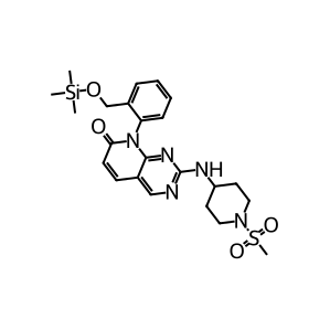 C[Si](C)(C)OCc1ccccc1-n1c(=O)ccc2cnc(NC3CCN(S(C)(=O)=O)CC3)nc21